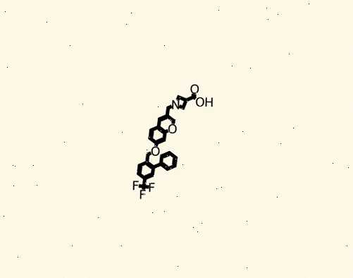 O=C(O)C1CN(CC2=Cc3ccc(OCc4ccc(C(F)(F)F)cc4-c4ccccc4)cc3OC2)C1